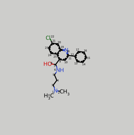 CN(C)CCCNC(O)c1cc(-c2ccccc2)nc2cc(Cl)ccc12